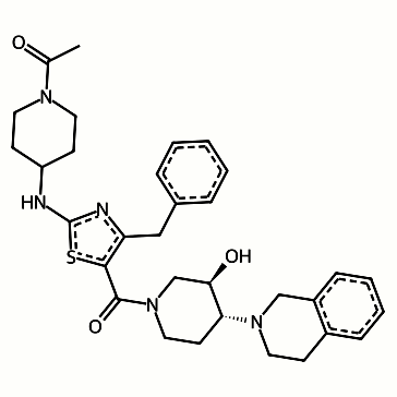 CC(=O)N1CCC(Nc2nc(Cc3ccccc3)c(C(=O)N3CC[C@@H](N4CCc5ccccc5C4)[C@H](O)C3)s2)CC1